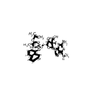 C#C[C@@]1(F)[C@H](O)[C@@H](COP(=S)(N[C@H](C)C(=O)OC(C)C)Oc2cccc3ccccc23)O[C@H]1n1cnc2c(NC)nc(N)nc21